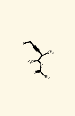 CC(C#CCI)C(C)OC(N)=O